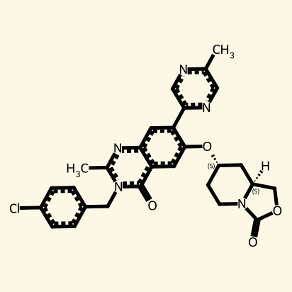 Cc1cnc(-c2cc3nc(C)n(Cc4ccc(Cl)cc4)c(=O)c3cc2O[C@H]2CCN3C(=O)OC[C@@H]3C2)cn1